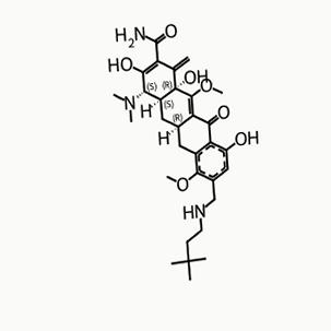 C=C1C(C(N)=O)=C(O)[C@@H](N(C)C)[C@@H]2C[C@@H]3Cc4c(OC)c(CNCCC(C)(C)C)cc(O)c4C(=O)C3=C(OC)[C@]12O